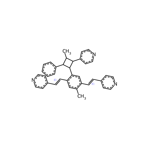 Cc1cc(/C=C/c2ccncc2)c(C2C(c3ccccc3)C(C)C2c2ccncc2)cc1/C=C/c1ccncc1